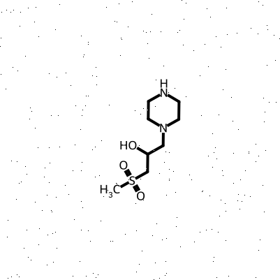 CS(=O)(=O)CC(O)CN1CCNCC1